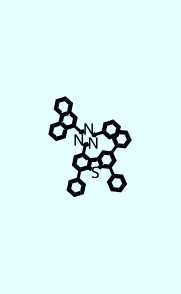 c1ccc(-c2cc(-c3ccccc3)c3sc4c(-c5ccccc5)ccc(-c5nc(-c6ccccc6)nc(-c6cc7ccccc7c7ccccc67)n5)c4c3c2)cc1